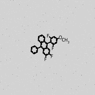 COc1cc(F)c(-c2c3ccccc3c(-c3ccccc3)c3cc(F)c(F)cc23)c(F)c1